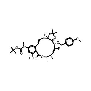 COc1ccc(CO[C@@H]2/C(F)=C\[C@@H](C)[C@H](C)OC(=O)c3c(O)cc(N(C)C(=O)OC(C)(C)C)cc3/C=C/C[C@@H]3OC(C)(C)O[C@@H]32)cc1